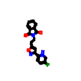 O=C1c2ccccc2C(=O)N1CCc1cc(C2=CC=C(F)CN2)no1